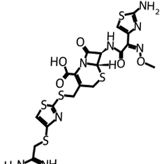 CO/N=C(\C(=O)N[C@@H]1C(=O)N2C(C(=O)O)=C(CSc3nc(SCC(=N)N)cs3)CS[C@@H]12)c1csc(N)n1